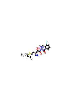 Cc1c(F)cccc1C(=O)N(N)C(=O)C(O)[C@H](N)CCSC(C)C